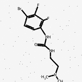 CN(C)CCNC(=O)Nc1ccc(Br)c(F)c1F